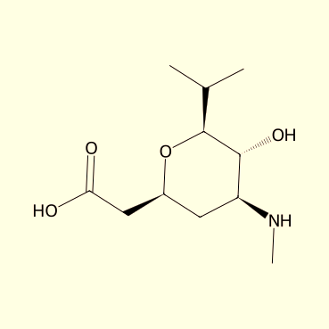 CN[C@H]1C[C@@H](CC(=O)O)O[C@@H](C(C)C)[C@@H]1O